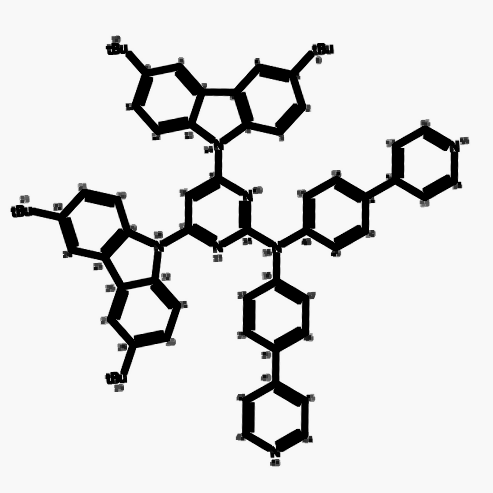 CC(C)(C)c1ccc2c(c1)c1cc(C(C)(C)C)ccc1n2-c1cc(-n2c3ccc(C(C)(C)C)cc3c3cc(C(C)(C)C)ccc32)nc(N(c2ccc(-c3ccncc3)cc2)c2ccc(-c3ccncc3)cc2)n1